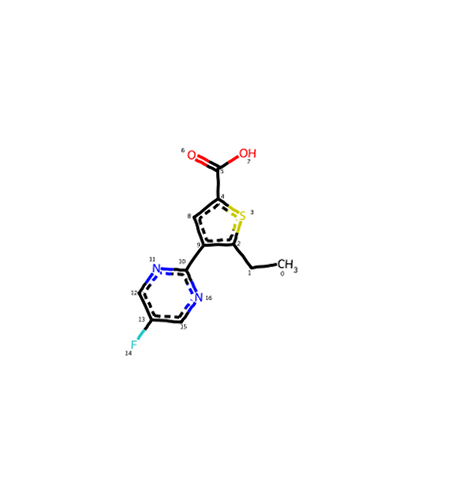 CCc1sc(C(=O)O)cc1-c1ncc(F)cn1